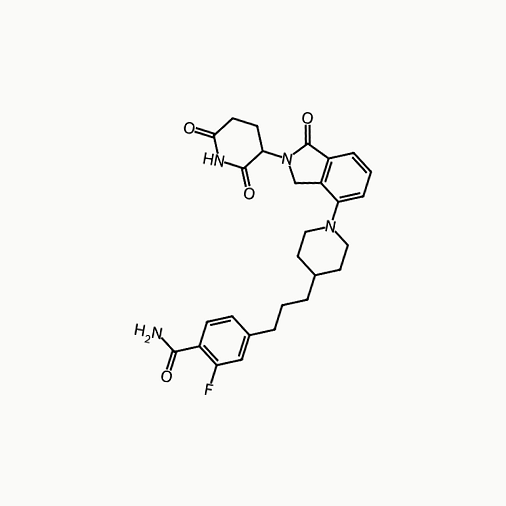 NC(=O)c1ccc(CCCC2CCN(c3cccc4c3CN(C3CCC(=O)NC3=O)C4=O)CC2)cc1F